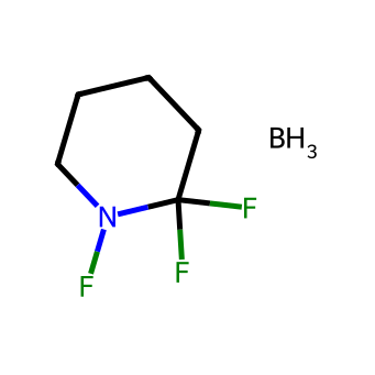 B.FN1CCCCC1(F)F